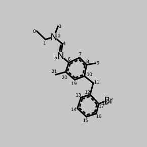 CCN(C)C=Nc1cc(C)c(Cc2ccccc2Br)cc1C